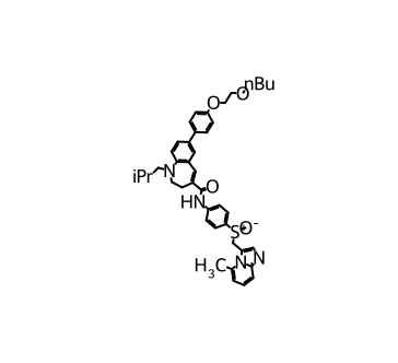 CCCCOCCOc1ccc(-c2ccc3c(c2)C=C(C(=O)Nc2ccc([S+]([O-])Cc4cnc5cccc(C)n45)cc2)CCN3CC(C)C)cc1